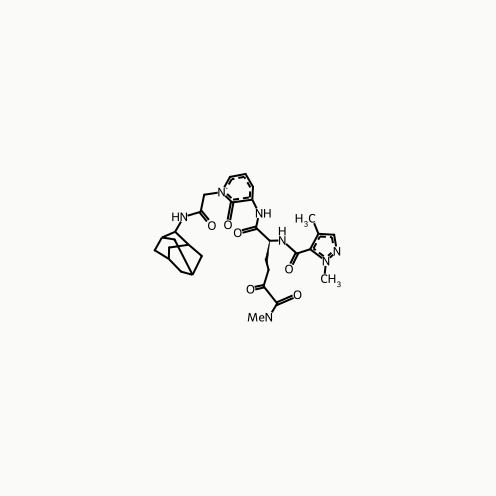 CNC(=O)C(=O)CC[C@H](NC(=O)c1c(C)cnn1C)C(=O)Nc1cccn(CC(=O)NC2C3CC4CC(C3)CC2C4)c1=O